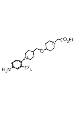 CCOC(=O)CN1CCC(OCC2CCN(c3ccc(N)cc3C(F)(F)F)CC2)CC1